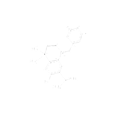 CCc1cc2c(cc1C(C)N)N(Cc1cccnc1)CCC2(C)C